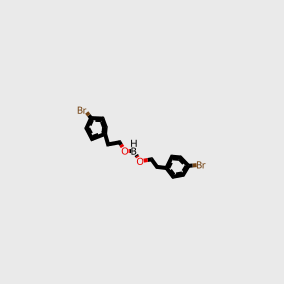 Brc1ccc(CCOBOCCc2ccc(Br)cc2)cc1